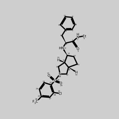 CCNC(=O)[C@H](Cc1ccccc1)N[C@H]1CC[C@@H]2CN(S(=O)(=O)c3ccc(C(F)(F)F)cc3Cl)C[C@@H]21